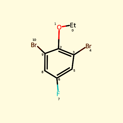 CCOc1c(Br)cc(F)cc1Br